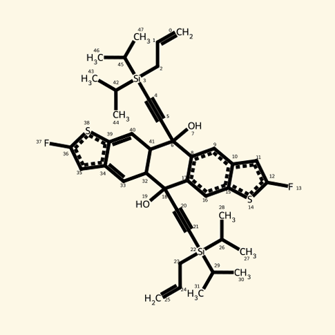 C=CC[Si](C#CC1(O)c2cc3cc(F)sc3cc2C(O)(C#C[Si](CC=C)(C(C)C)C(C)C)C2C=c3cc(F)sc3=CC21)(C(C)C)C(C)C